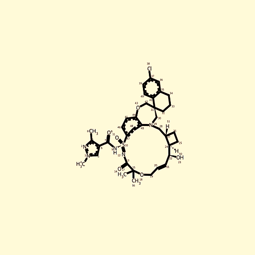 Cc1nn(C)cc1C(=O)N[S@@]1(=O)=NC(=O)C(C)(C)OC/C=C/[C@H](O)[C@@H]2CC[C@H]2CN2C[C@@]3(CCCc4cc(Cl)ccc43)COc3ccc1cc32